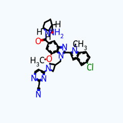 COc1cc(C(=O)N2C[C@H]3CC[C@@H]2[C@@H]3N)cc2nc(-c3cc4cc(Cl)ccc4n3C)n(CC3CN(c4ccnc(C#N)n4)C3)c12